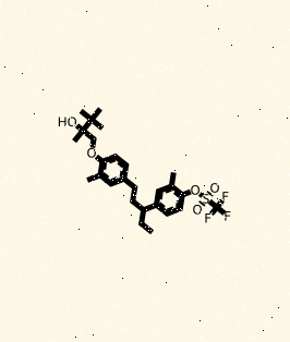 CCC(CCc1ccc(OCC(C)(O)C(C)(C)C)c(C)c1)c1ccc(OS(=O)(=O)C(F)(F)F)c(C)c1